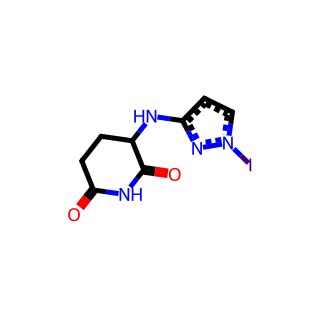 O=C1CCC(Nc2ccn(I)n2)C(=O)N1